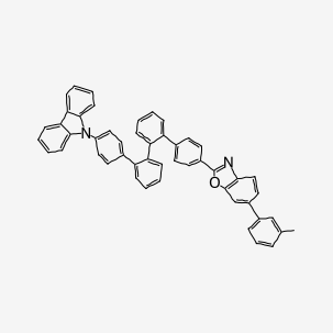 Cc1cccc(-c2ccc3nc(-c4ccc(-c5ccccc5-c5ccccc5-c5ccc(-n6c7ccccc7c7ccccc76)cc5)cc4)oc3c2)c1